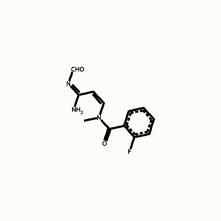 CN(/C=C\C(N)=N/C=O)C(=O)c1ccccc1F